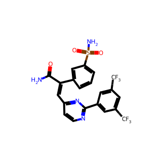 NC(=O)/C(=C/c1ccnc(-c2cc(C(F)(F)F)cc(C(F)(F)F)c2)n1)c1cccc(S(N)(=O)=O)c1